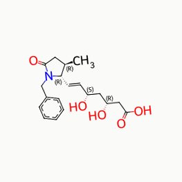 C[C@@H]1CC(=O)N(Cc2ccccc2)[C@H]1C=C[C@@H](O)C[C@@H](O)CC(=O)O